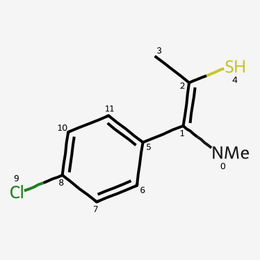 CN/C(=C(/C)S)c1ccc(Cl)cc1